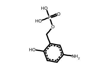 Nc1ccc(O)c(COP(=O)(O)O)c1